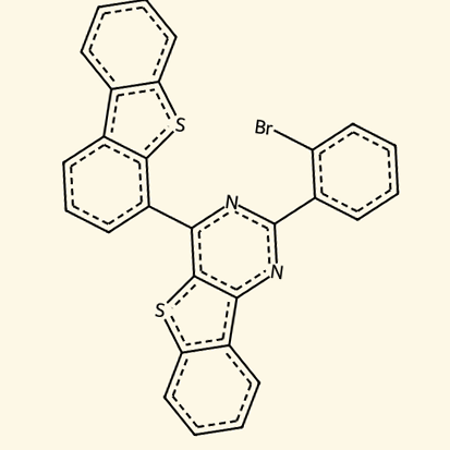 Brc1ccccc1-c1nc(-c2cccc3c2sc2ccccc23)c2sc3ccccc3c2n1